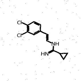 N=C(N/C=C/c1ccc(Cl)c(Cl)c1)C1CC1